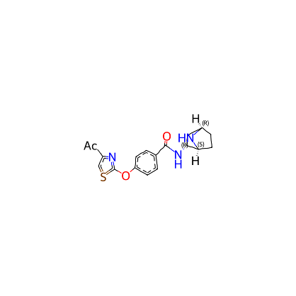 CC(=O)c1csc(Oc2ccc(C(=O)N[C@@H]3C[C@H]4CC[C@@H]3N4)cc2)n1